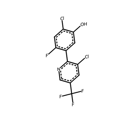 Oc1cc(-c2ncc(C(F)(F)F)cc2Cl)c(F)cc1Cl